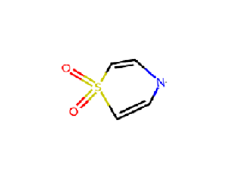 O=S1(=O)C=C[N]C=C1